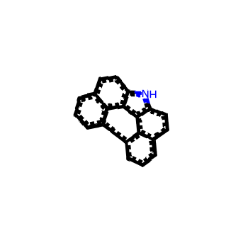 c1cc2ccc3[nH]c4ccc5cccc6c(c1)c2c3c4c56